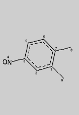 Cc1[c]c(N=O)ccc1C